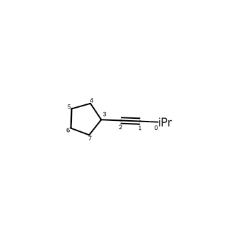 CC(C)C#CC1CCCC1